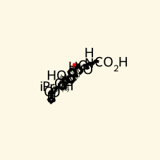 CC(C)[C@@H](OC(=O)N1CCC1)C1C[C@@H](C)[C@H]2C(O1)[C@H](O)[C@@]1(C)C3CC[C@H]4C(C)(C)[C@@H](OC(=O)NCCC(=O)O)CC[C@@]45C[C@@]35CC[C@]21C